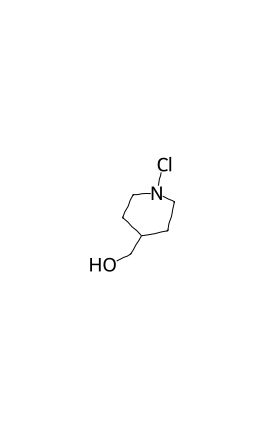 OCC1CCN(Cl)CC1